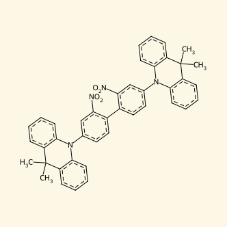 CC1(C)c2ccccc2N(c2ccc(-c3ccc(N4c5ccccc5C(C)(C)c5ccccc54)cc3[N+](=O)[O-])c([N+](=O)[O-])c2)c2ccccc21